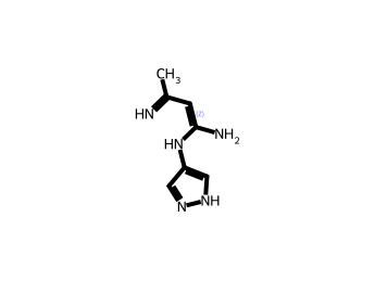 CC(=N)/C=C(/N)Nc1cn[nH]c1